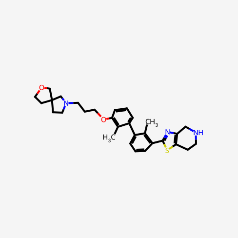 Cc1c(OCCCN2CCC3(CCOC3)C2)cccc1-c1cccc(-c2nc3c(s2)CCNC3)c1C